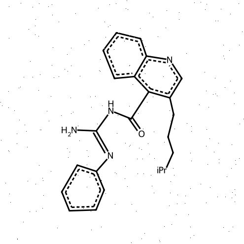 CC(C)CCCc1cnc2ccccc2c1C(=O)NC(N)=Nc1ccccc1